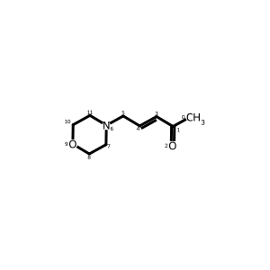 CC(=O)/C=C/CN1CCOCC1